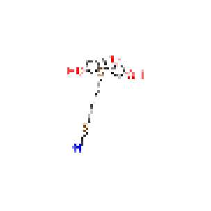 CN(C)CCCSCCCCCCCCCSC1c2ccc(O)cc2OCC1(C)c1ccc(O)cc1